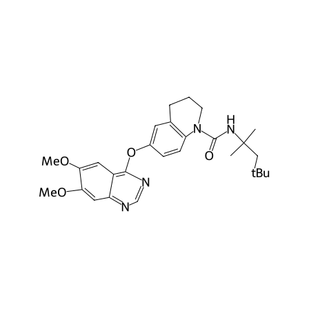 COc1cc2ncnc(Oc3ccc4c(c3)CCCN4C(=O)NC(C)(C)CC(C)(C)C)c2cc1OC